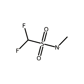 C[N]S(=O)(=O)C(F)F